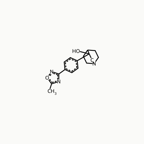 Cc1nc(-c2ccc(C3(O)CN4CCC3CC4)cc2)no1